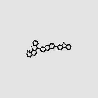 c1cnc2c(c1)ccc1c(-c3ccc4cc5cc(-c6ccc7c(c6)sc6ccccc67)ccc5cc4c3)c3ccccc3nc12